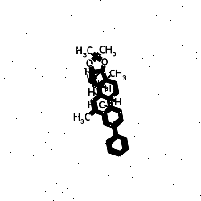 CC(=O)[C@@]12OC(C)(C)O[C@H]1C[C@H]1[C@@H]3C=C(C)C4=CC(c5ccccc5)=CC[C@]4(C)[C@H]3CC[C@@]12C